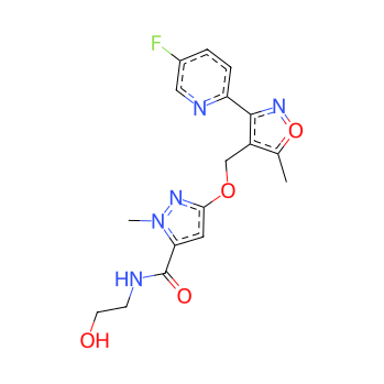 Cc1onc(-c2ccc(F)cn2)c1COc1cc(C(=O)NCCO)n(C)n1